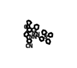 N#Cc1ccc2c(c1)c1ccccc1n2-c1nc(-c2cccc(S(c3ccccc3)(c3ccccc3)c3ccccc3)c2)nc(-c2ccccc2-c2cccc3oc4ccccc4c23)n1